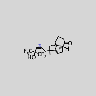 CC(C)(C/C=C\C(O)(C(F)(F)F)C(F)(F)F)C1=CC[C@H]2C(=O)CCC[C@]12C